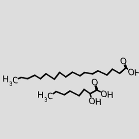 CCCCCCC(O)C(=O)O.CCCCCCCCCCCCCCCCCC(=O)O